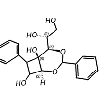 OC[C@@H](O)[C@H]1OC(c2ccccc2)O[C@H]2C(O)C(c3ccccc3)[C@]12O